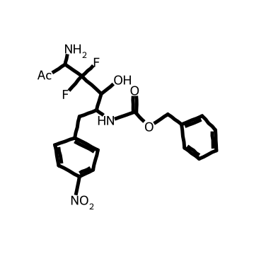 CC(=O)C(N)C(F)(F)C(O)C(Cc1ccc([N+](=O)[O-])cc1)NC(=O)OCc1ccccc1